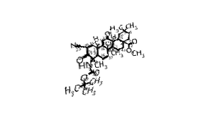 COC(=O)[C@]12CCC(C)(C)CC1[C@@H]1C(=O)C=C3[C@@]4(C)C=C(C#N)C(=O)[C@@](C)(NC(=O)OC(C)(C)C)C4CC[C@@]3(C)[C@]1(C)CC2